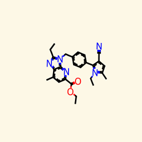 CCOC(=O)c1cc(C)c2nc(CC)n(Cc3ccc(-c4c(C#N)cc(C)n4CC)cc3)c2n1